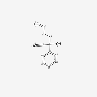 C#CC(O)(CCC=C)c1ccccc1